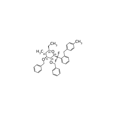 CC[C@H]1O[C@@H](C(F)(F)c2ccccc2Cc2ccc(C)cc2)[C@H](OCc2ccccc2)[C@@H](OCc2ccccc2)[C@@H]1C